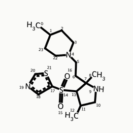 CC1CCN(CCC2(C)NCC(C)C2S(=O)(=O)c2cncs2)CC1